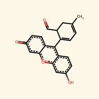 CC1=CC=C(c2c3ccc(=O)cc-3oc3cc(O)ccc23)C(C=O)C1